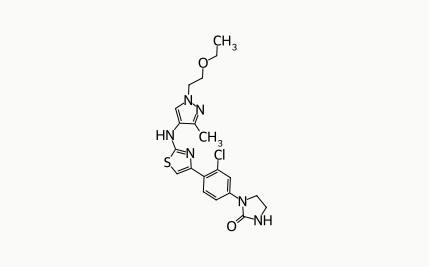 CCOCCn1cc(Nc2nc(-c3ccc(N4CCNC4=O)cc3Cl)cs2)c(C)n1